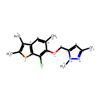 CC(=O)Oc1c(C)sc2c(Cl)c(OCc3cc(C(F)(F)F)nn3C)c(C)cc12